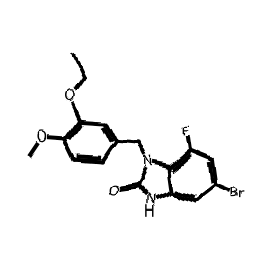 CCOc1cc(Cn2c(=O)[nH]c3cc(Br)cc(F)c32)ccc1OC